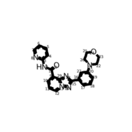 O=C(Nc1ccccn1)c1cccn2nc(-c3cccc(N4CCOCC4)c3)nc12